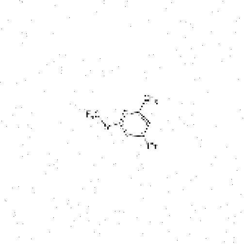 CC(C)c1cc(SC(F)(F)F)cc(C(F)(F)F)c1